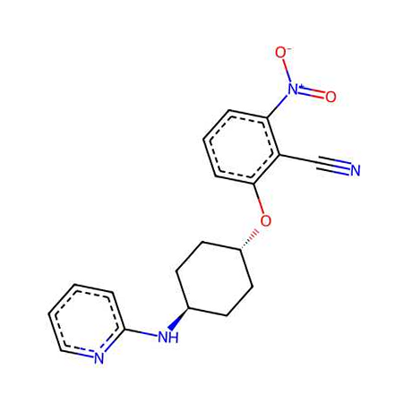 N#Cc1c(O[C@H]2CC[C@H](Nc3ccccn3)CC2)cccc1[N+](=O)[O-]